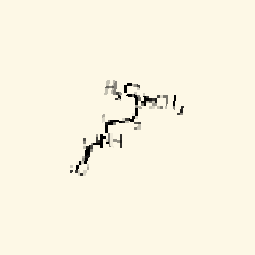 CN(C)CCN[C]=O